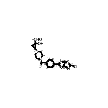 O=CC1(O)CC1N1CCN(C(=O)c2ccc(-c3nc4sc(Cl)nc4s3)cc2)CC1